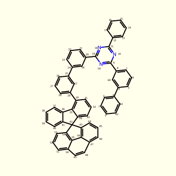 c1ccc(-c2cccc(-c3nc(-c4ccccc4)nc(-c4cccc(-c5cccc(-c6cccc7c6-c6ccccc6C76c7cccc8ccc9cccc6c9c78)c5)c4)n3)c2)cc1